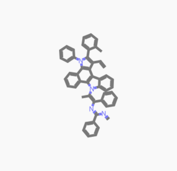 C=Cc1c(-c2ccccc2C)n(-c2ccccc2)c2c3ccccc3c3c(c4ccccc4n3/C(C)=C(/N=C(\N=C)c3ccccc3)c3ccccc3)c12